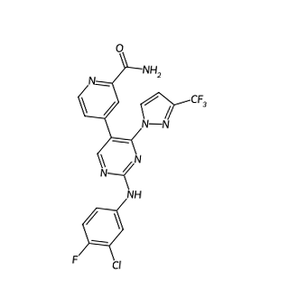 NC(=O)c1cc(-c2cnc(Nc3ccc(F)c(Cl)c3)nc2-n2ccc(C(F)(F)F)n2)ccn1